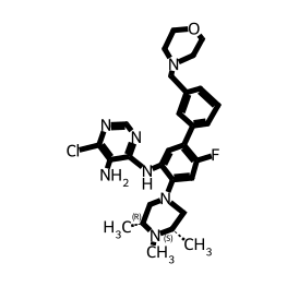 C[C@@H]1CN(c2cc(F)c(-c3cccc(CN4CCOCC4)c3)cc2Nc2ncnc(Cl)c2N)C[C@H](C)N1C